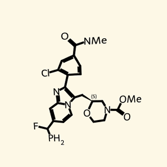 CNC(=O)c1ccc(-c2nc3cc(C(F)P)ccn3c2C[C@H]2CN(C(=O)OC)CCO2)c(Cl)c1